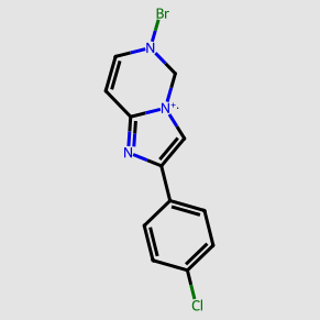 Clc1ccc(C2=C[N+]3CN(Br)C=CC3=N2)cc1